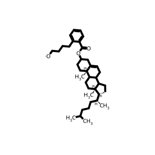 CC(C)CCC[C@@H](C)[C@H]1CCC2C3CC=C4CC(OC(=O)c5ccccc5[CH]CCC[O])CC[C@]4(C)C3CC[C@@]21C